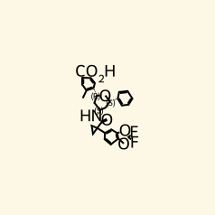 Cc1cc(C(=O)O)ccc1[C@H]1C[C@@H](NC(=O)C2(c3ccc4c(c3)OC(F)(F)O4)CC2)C[C@@H](c2ccccc2)O1